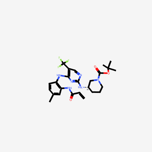 C=CC(=O)Nc1cc(C)ccc1Nc1nc(N[C@H]2CCCN(C(=O)OC(C)(C)C)C2)ncc1C(F)(F)F